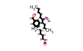 CCCCCC(CCCC)P=S.CCCCCP=O.O=Cc1ccccc1